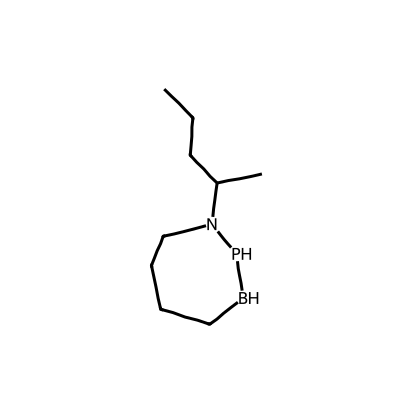 CCCC(C)N1CCCCBP1